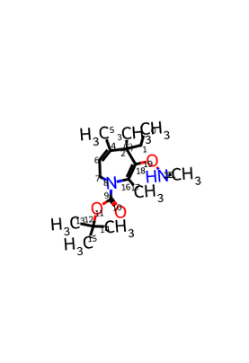 CC[C@@]1(C)C(C)=CCN(C(=O)OC(C)(C)C)C(C)=C1ONC